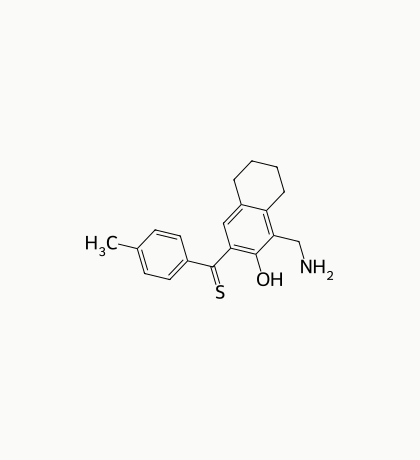 Cc1ccc(C(=S)c2cc3c(c(CN)c2O)CCCC3)cc1